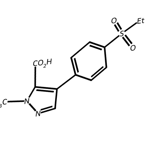 CCS(=O)(=O)c1ccc(-c2cnn(C)c2C(=O)O)cc1